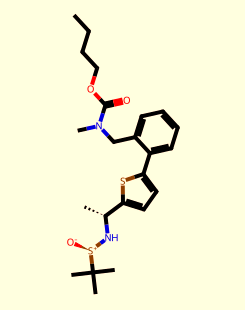 CCCCOC(=O)N(C)Cc1ccccc1-c1ccc([C@@H](C)N[S@+]([O-])C(C)(C)C)s1